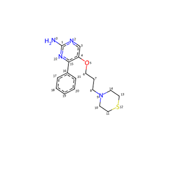 Nc1ncc(OCCCN2CCSCC2)c(-c2ccccc2)n1